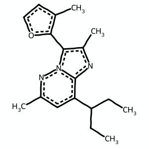 CCC(CC)c1cc(C)nn2c(-c3occc3C)c(C)nc12